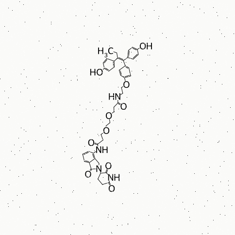 CCC(=C(c1ccc(O)cc1)c1ccc(OCCNC(=O)CCOCCOCCC(=O)Nc2cccc3c2CN(C2CCC(=O)NC2=O)C3=O)cc1)c1ccc(O)cc1